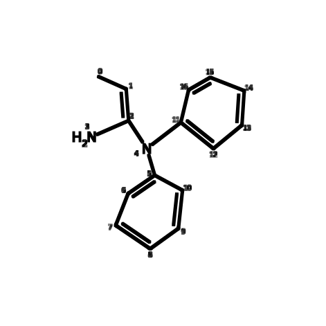 CC=C(N)N(c1ccccc1)c1ccccc1